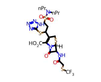 CCCN(CCC)S(=O)(=O)CCC(Sc1nnn[nH]1)C1=C(C(=O)O)N2C(=O)C(NC(=O)CSC(F)(F)F)[C@@H]2SC1